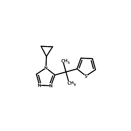 CC(C)(c1cccs1)c1nncn1C1CC1